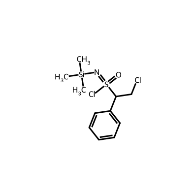 C[Si](C)(C)N=S(=O)(Cl)C(CCl)c1ccccc1